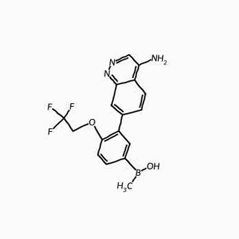 CB(O)c1ccc(OCC(F)(F)F)c(-c2ccc3c(N)cnnc3c2)c1